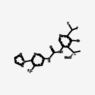 CO[C@@H](C)c1c(NC(=O)Nc2cnc(-n3nccn3)c(C(F)(F)F)c2)cnc(C(F)F)c1Br